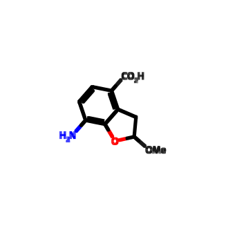 COC1Cc2c(C(=O)O)ccc(N)c2O1